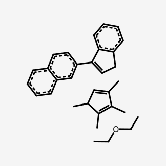 C1=C(c2ccc3ccccc3c2)c2ccccc2C1.CC1=CC(C)C(C)=C1C.CCOCC